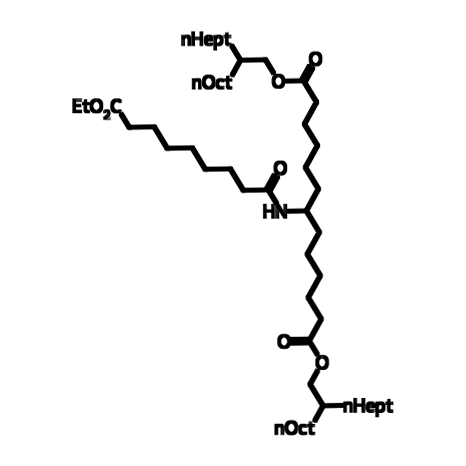 CCCCCCCCC(CCCCCCC)COC(=O)CCCCCC(CCCCCC(=O)OCC(CCCCCCC)CCCCCCCC)NC(=O)CCCCCCCC(=O)OCC